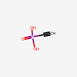 C#CP(=O)(O)O